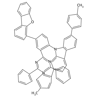 Cc1ccc(-c2ccc3c4ccc(-c5ccc(C)cc5)cc4n(-c4ccc(-c5cccc6c5oc5ccccc56)cc4-c4nc(-c5ccccc5)nc(-c5ccccc5)n4)c3c2)cc1